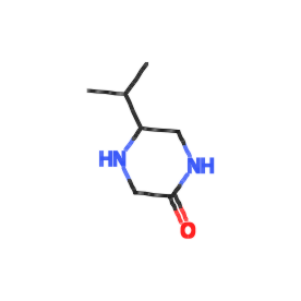 CC(C)C1CNC(=O)CN1